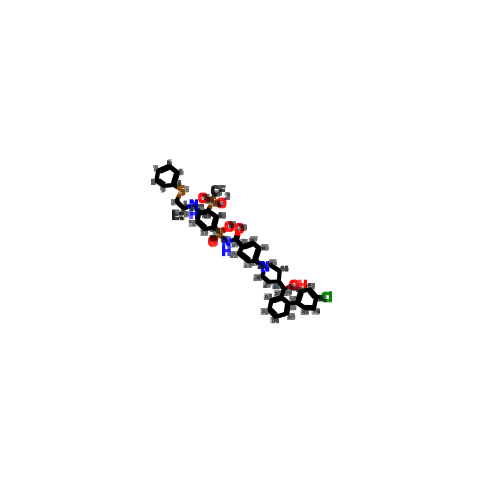 CC[C@H](CSc1ccccc1)Nc1ccc(S(=O)(=O)NC(=O)c2ccc(N3CCC([C@@H](O)c4ccccc4-c4ccc(Cl)cc4)CC3)cc2)cc1S(=O)(=O)C(F)(F)F